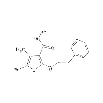 Cc1c(Br)sc(NCCc2ccccc2)c1C(=O)NC(C)C